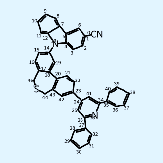 N#Cc1ccc2c(c1)c1ccccc1n2-c1ccc2c(c1)-c1ccc(-c3cc(-c4ccccc4)nc(-c4ccccc4)c3)cc1CSC2